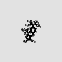 CC(C)[N+](=C1C=C/C(=N/c2cnn(C)c2N)C(NS(C)(=O)=O)=C1)C(C)C